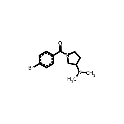 CN(C)C1CCN(C(=O)c2ccc(Br)cc2)C1